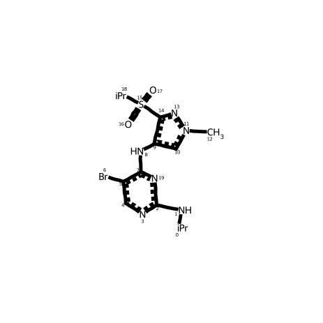 CC(C)Nc1ncc(Br)c(Nc2cn(C)nc2S(=O)(=O)C(C)C)n1